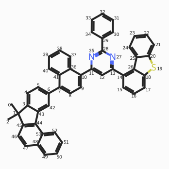 CC1(C)c2ccc(-c3ccc(-c4cc(-c5cccc6sc7ccccc7c56)nc(-c5ccccc5)n4)c4ccccc34)cc2-c2c1ccc1ccccc21